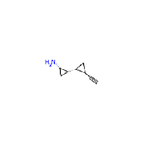 C#CC1C[C@H]1C1C[C@@H]1N